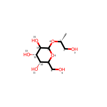 C[C@H](CO)OC1OC(CO)[C@H](O)[C@H](O)C1O